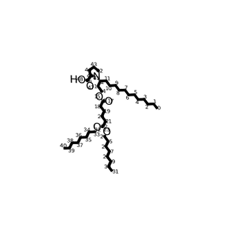 CCCCCCCCCCCCC(CCOC(=O)CCCCC(OCCCCCCCC)OCCCCCCCC)N1CCCC1C(=O)O